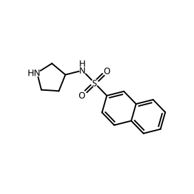 O=S(=O)(NC1CCNC1)c1ccc2ccccc2c1